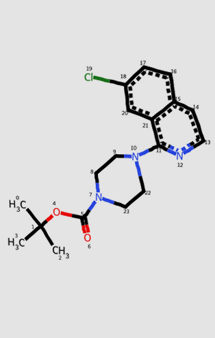 CC(C)(C)OC(=O)N1CCN(c2nccc3ccc(Cl)cc23)CC1